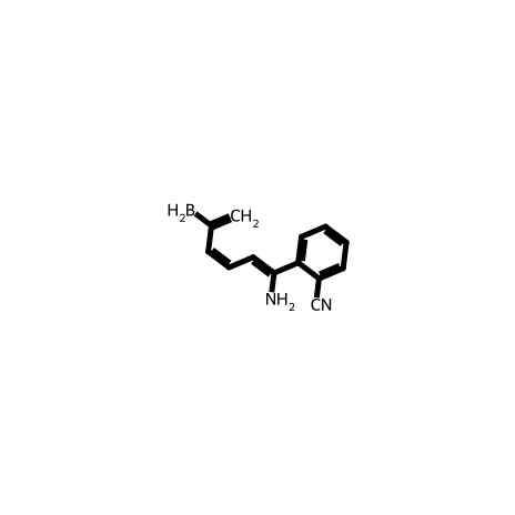 BC(=C)/C=C\C=C(/N)c1ccccc1C#N